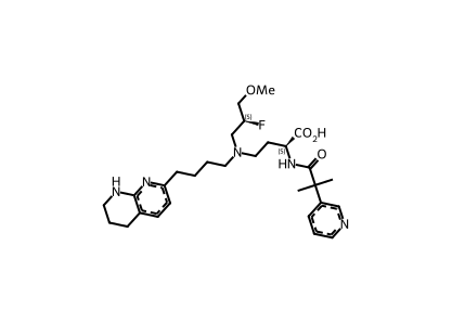 COC[C@@H](F)CN(CCCCc1ccc2c(n1)NCCC2)CC[C@H](NC(=O)C(C)(C)c1cccnc1)C(=O)O